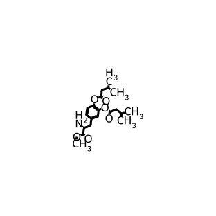 COC(=O)[C@@H](N)Cc1ccc(OC(=O)CC(C)C)c(OC(=O)CC(C)C)c1